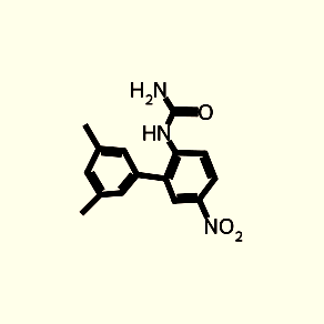 Cc1cc(C)cc(-c2cc([N+](=O)[O-])ccc2NC(N)=O)c1